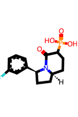 O=C1C(P(=O)(O)O)CC[C@H]2CC[C@@H](c3cccc(F)c3)N12